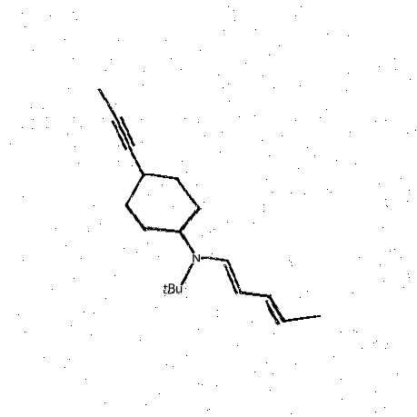 CC#CC1CCC(N(/C=C/C=C/C)C(C)(C)C)CC1